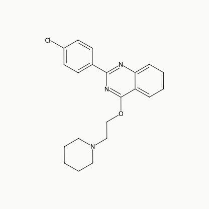 Clc1ccc(-c2nc(OCCN3CCCCC3)c3ccccc3n2)cc1